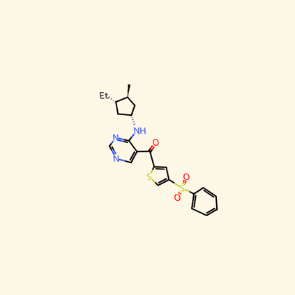 CC[C@H]1C[C@@H](Nc2ncncc2C(=O)c2cc(S(=O)(=O)c3ccccc3)cs2)C[C@@H]1C